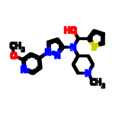 COc1cc(-n2ccc(N(C3CCN(C)CC3)C(O)c3cccs3)n2)ccn1